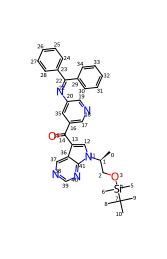 C[C@@H](CO[Si](C)(C)C(C)(C)C)n1cc(C(=O)c2cncc(N=C(c3ccccc3)c3ccccc3)c2)c2cncnc21